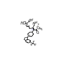 NC/C(CCCB(O)O)=C(\C(=O)O)C1CCN(C2CCc3ccc(C(F)(F)F)cc32)CC1